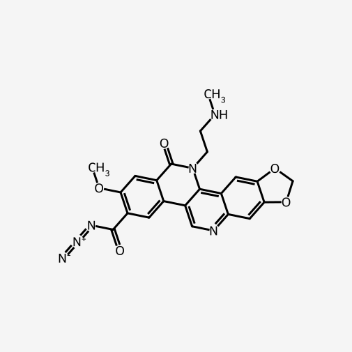 CNCCn1c(=O)c2cc(OC)c(C(=O)N=[N+]=[N-])cc2c2cnc3cc4c(cc3c21)OCO4